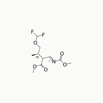 COC(=O)/N=C/C(C(=O)OC)[C@@H](C)COC(F)F